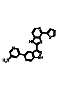 Nc1cncc(-c2ccc3[nH]nc(-c4nc5c(-c6cccs6)nccc5[nH]4)c3c2)c1